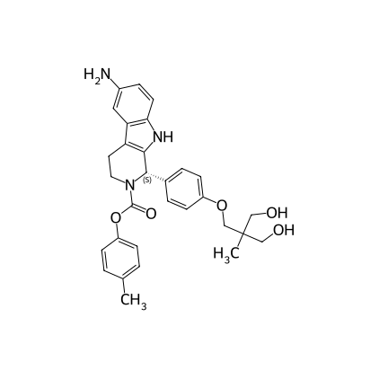 Cc1ccc(OC(=O)N2CCc3c([nH]c4ccc(N)cc34)[C@@H]2c2ccc(OCC(C)(CO)CO)cc2)cc1